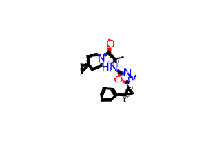 C[C@@H](Nc1nnc([C@@H]2C[C@]2(C)c2ccccc2)o1)C(=O)N1CCC2(CC1)CC2